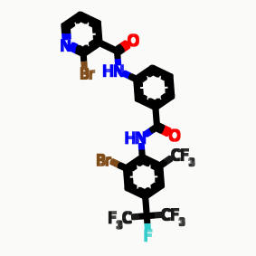 O=C(Nc1c(Br)cc(C(F)(C(F)(F)F)C(F)(F)F)cc1C(F)(F)F)c1cccc(NC(=O)c2cccnc2Br)c1